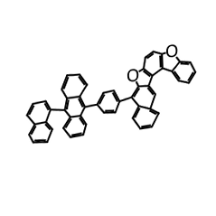 c1ccc2c(-c3c4ccccc4c(-c4ccc(-c5c6ccccc6cc6c5oc5ccc7oc8ccccc8c7c56)cc4)c4ccccc34)cccc2c1